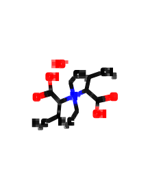 CCC(C(=O)O)[N+](CC)(CC)C(CC)C(=O)O.[OH-]